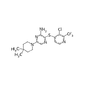 CC1(C)CCN(c2cnc(Sc3ccnc(C(F)(F)F)c3Cl)c(N)n2)CC1